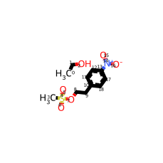 CCO.CS(=O)(=O)OCCc1ccc([N+](=O)[O-])cc1